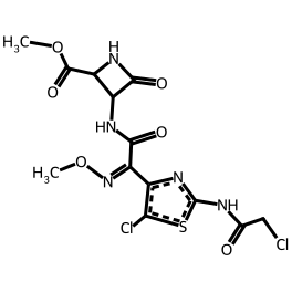 CON=C(C(=O)NC1C(=O)NC1C(=O)OC)c1nc(NC(=O)CCl)sc1Cl